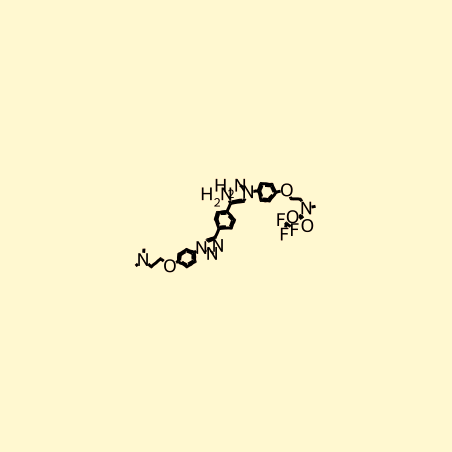 CN(C)CCOc1ccc(-n2cc(-c3ccc(/C(N)=C/N(N)c4ccc(OCCN(C)C(=O)OC(F)(F)F)cc4)cc3)nn2)cc1